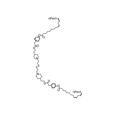 CCCCC/C=C\C/C=C\CCCCCCCC(=O)Oc1ccc(CC(=O)OCCC2CCN(CCSSCCN3CCC(CCOC(=O)Cc4ccc(OC(=O)CCCCCCC/C=C\C/C=C\CCCCC)cc4)CC3)CC2)cc1